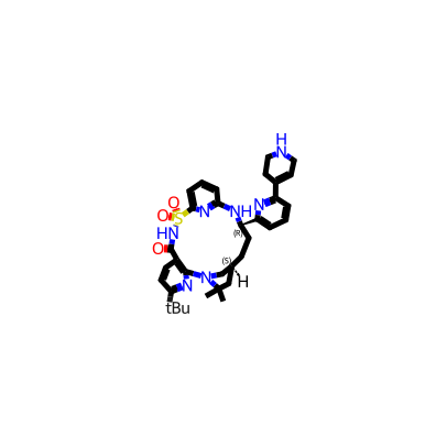 CC(C)(C)c1ccc2c(n1)N1C[C@@H](CC[C@H](c3cccc(C4=CCNCC4)n3)Nc3cccc(n3)S(=O)(=O)NC2=O)CC1(C)C